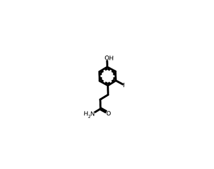 NC(=O)CCc1ccc(O)cc1I